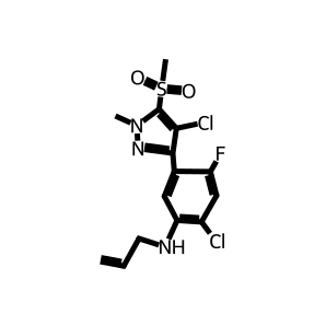 C=CCNc1cc(-c2nn(C)c(S(C)(=O)=O)c2Cl)c(F)cc1Cl